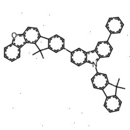 CC1(C)c2ccccc2-c2ccc(-n3c4ccc(-c5ccccc5)cc4c4cc(-c5ccc6c(c5)C(C)(C)c5c-6ccc6oc7ccccc7c56)ccc43)cc21